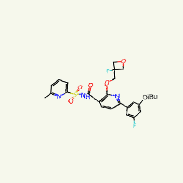 Cc1cccc(S(=O)(=O)NC(=O)c2ccc(-c3cc(F)cc(OCC(C)C)c3)nc2OCC2(F)COC2)n1